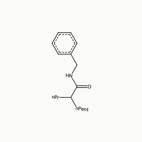 CCCCCC(CCC)C(=O)NCc1ccccc1